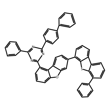 c1ccc(-c2ccc(-c3nc(-c4ccccc4)nc(-c4cccc5oc6cc(-c7cccc8c7sc7c(-c9ccccc9)cccc78)ccc6c45)n3)cc2)cc1